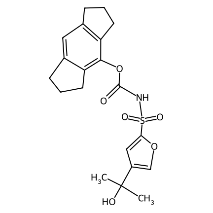 CC(C)(O)c1coc(S(=O)(=O)NC(=O)Oc2c3c(cc4c2CCC4)CCC3)c1